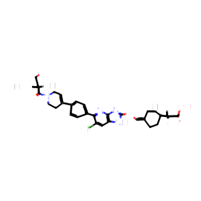 CC(C)(CO)C(=O)N1CC=C(c2ccc(-c3nc4nc(OC=C5CCC(C(C)(C)C(=O)O)CC5)[nH]c4cc3Cl)cc2)CC1